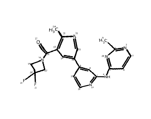 Cc1nccc(Nc2cc(-c3cnc(C)c(C(=O)N4CC(F)(F)C4)c3)ccn2)n1